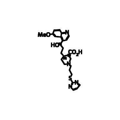 COc1ccc2nccc([C@@H](O)CC[C@@H]3CCN(CCCSc4ncccn4)C[C@@H]3C(=O)O)c2c1